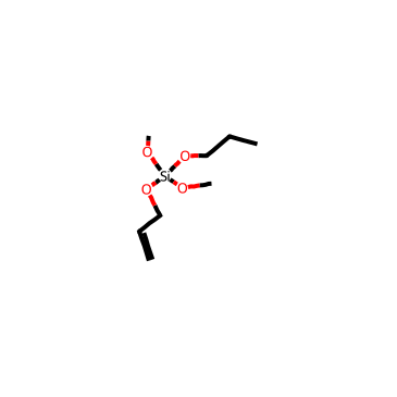 C=CCO[Si](OC)(OC)OCCC